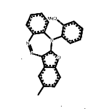 COc1ccccc1N1c2ccccc2N=Nc2c1oc1ccc(C)cc21